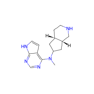 CN(c1ncnc2[nH]ccc12)C1C[C@H]2CNCC[C@H]2C1